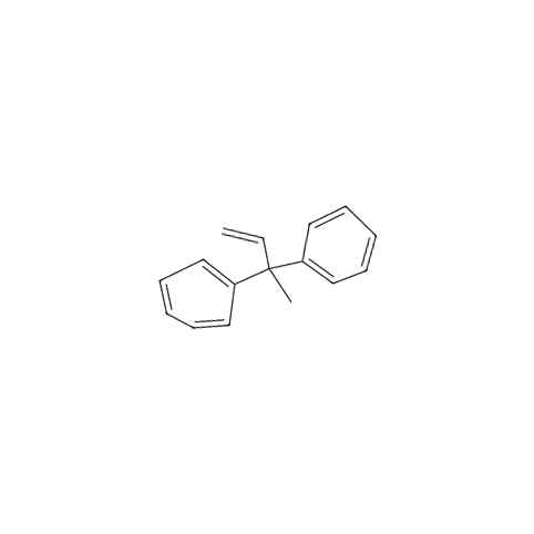 C=CC(C)(c1ccccc1)c1ccccc1